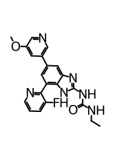 CCNC(=O)Nc1nc2cc(-c3cncc(OC)c3)cc(-c3ncccc3F)c2[nH]1